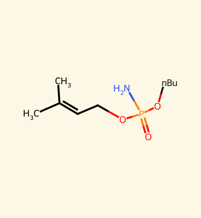 CCCCOP(N)(=O)OCC=C(C)C